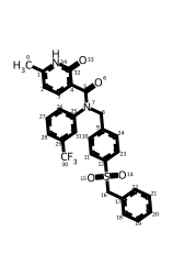 Cc1ccc(C(=O)N(Cc2ccc(S(=O)(=O)Cc3ccccc3)cc2)c2cccc(C(F)(F)F)c2)c(=O)[nH]1